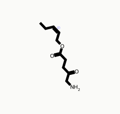 CC/C=C\COC(=O)CCC(=O)CN